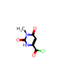 Cn1c(=O)cc(C(=O)Cl)[nH]c1=O